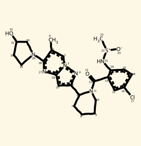 Cc1cn2nc(C3CCCCN3C(=O)c3cc(Cl)ccc3N[S+](C)[O-])cc2nc1N1CCC(O)C1